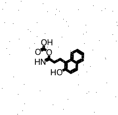 N=C(CCc1c(O)ccc2ccccc12)OC(=O)O